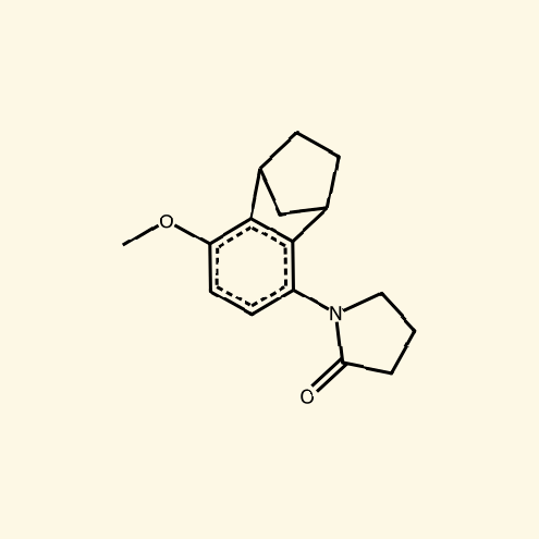 COc1ccc(N2CCCC2=O)c2c1C1CCC2C1